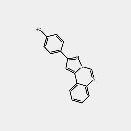 Oc1ccc(-c2nc3c4ccccc4ncn3n2)cc1